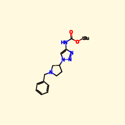 CC(C)(C)OC(=O)Nc1cn(C2CCN(Cc3ccccc3)C2)nn1